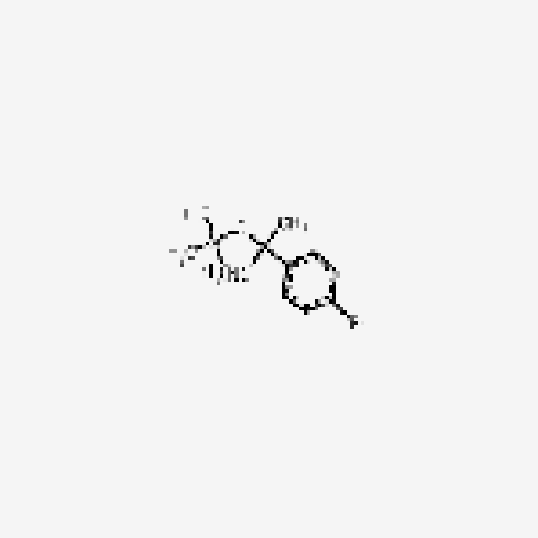 CC(C#N)(O[Si](C)(C)C)c1ccc(Br)cc1